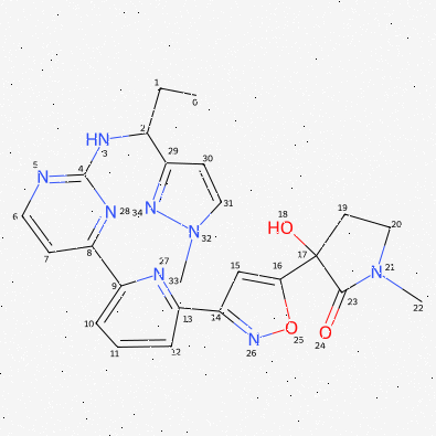 CCC(Nc1nccc(-c2cccc(-c3cc(C4(O)CCN(C)C4=O)on3)n2)n1)c1ccn(C)n1